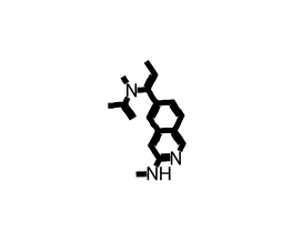 C=C(C)N(C)/C(=C\C)c1ccc2cnc(NC)cc2c1